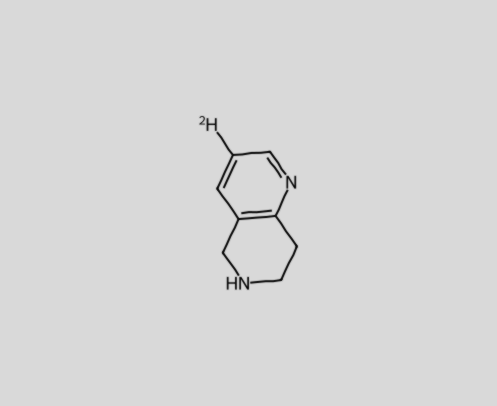 [2H]c1cnc2c(c1)CNCC2